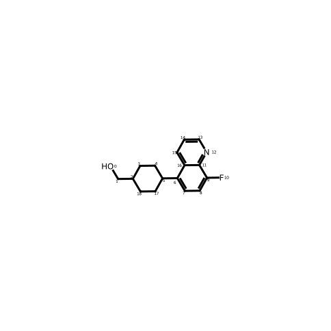 OCC1CCC(c2ccc(F)c3ncccc23)CC1